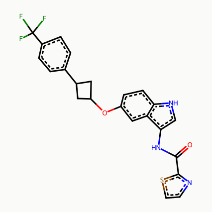 O=C(Nc1c[nH]c2ccc(OC3CC(c4ccc(C(F)(F)F)cc4)C3)cc12)c1nccs1